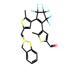 Cc1sc(C=O)cc1C1=C(c2cc(C=S3Cc4ccccc4S3)sc2C)C(F)(F)C(F)(F)C1(F)F